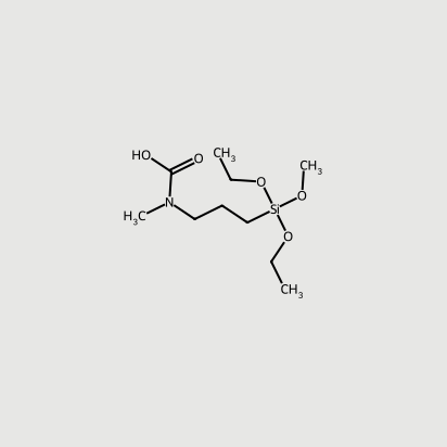 CCO[Si](CCCN(C)C(=O)O)(OC)OCC